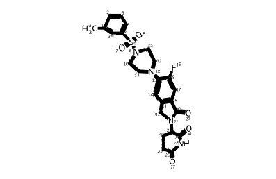 Cc1cccc(S(=O)(=O)N2CCN(c3cc4c(cc3F)C(=O)N(C3CCC(=O)NC3=O)C4)CC2)c1